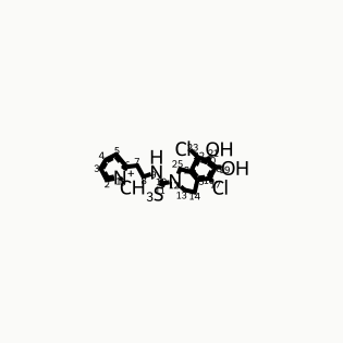 C[n+]1ccccc1CCNC(=S)N1CCc2c(Cl)c(O)c(O)c(Cl)c2C1